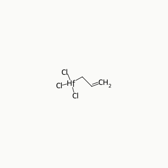 C=C[CH2][Hf]([Cl])([Cl])[Cl]